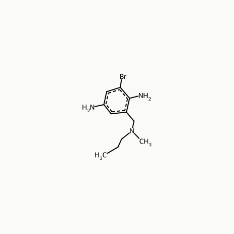 CCCN(C)Cc1cc(N)cc(Br)c1N